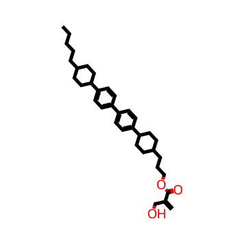 C=C(CO)C(=O)OCCCC1CCC(c2ccc(-c3ccc(C4CCC(CCCCC)CC4)cc3)cc2)CC1